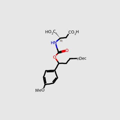 CCCCCCCCCCCCC(OC(=O)N[C@@H](CC(=O)O)C(=O)O)c1ccc(OC)cc1